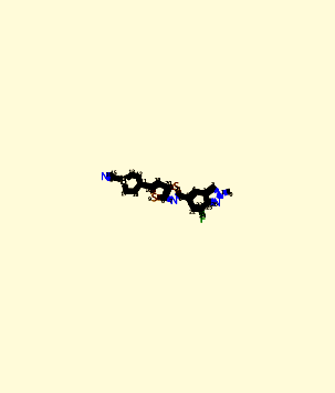 Cn1cc2cc(-c3nc4sc(C5CCB(C#N)CC5)cc4s3)cc(F)c2n1